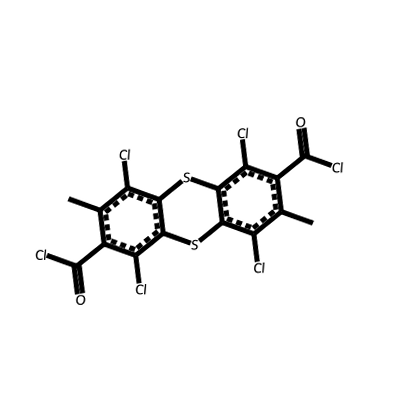 Cc1c(Cl)c2c(c(Cl)c1C(=O)Cl)Sc1c(Cl)c(C)c(C(=O)Cl)c(Cl)c1S2